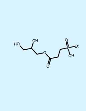 CCP(=O)(O)CCC(=O)OCC(O)CO